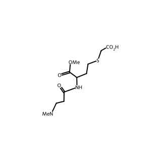 CNCCC(=O)NC(CCSCC(=O)O)C(=O)OC